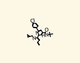 C=C/C=C(/c1cc(C(=O)NC(C)(C)C)cc(-c2ccc(Cl)cc2)n1)N(C)CC1CC1